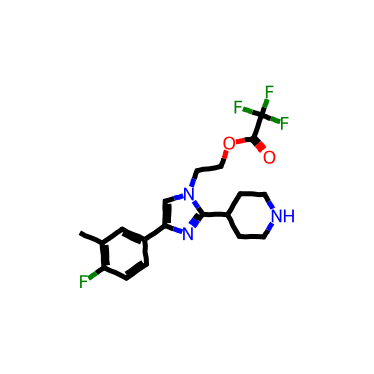 Cc1cc(-c2cn(CCOC(=O)C(F)(F)F)c(C3CCNCC3)n2)ccc1F